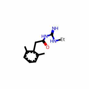 CCNC(=N)NC(=O)Cc1c(C)cccc1C